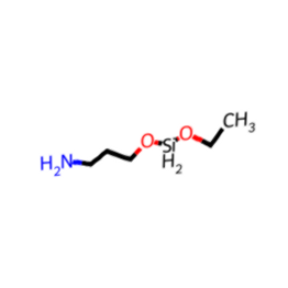 CCO[SiH2]OCCCN